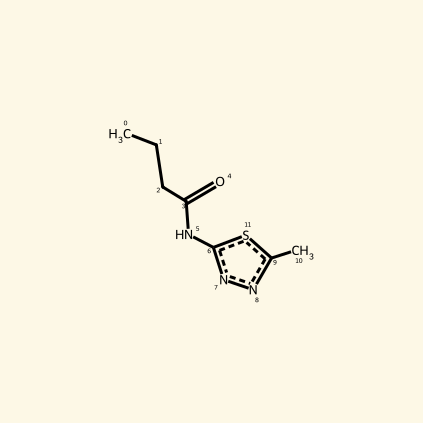 CCCC(=O)Nc1nnc(C)s1